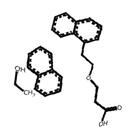 CCO.O=C(O)CCOCCc1cccc2ccccc12.c1ccc2ccccc2c1